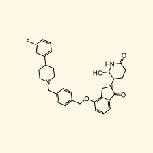 O=C1CCC(N2Cc3c(OCc4ccc(CN5CCC(c6cccc(F)c6)CC5)cc4)cccc3C2=O)C(O)N1